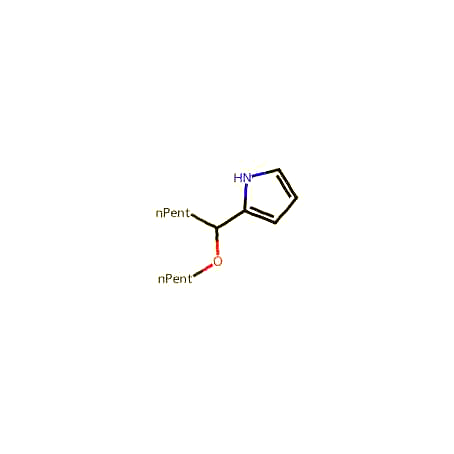 CCCCCOC(CCCCC)c1ccc[nH]1